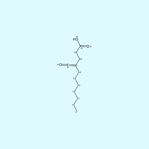 CCCCCCCC(=C=O)CCC(=O)O